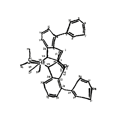 CC(C)C1=Cc2c(-c3ccccc3)cccc2[CH]1[Hf]([CH3])([CH3])([CH]1C(C(C)C)=Cc2c(-c3ccccc3)cccc21)=[Si](C)C